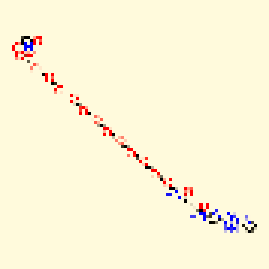 O=C(CCCC(=O)Nc1ccc(-c2nnc(-c3ccccn3)nn2)nc1)NCCOCCOCCOCCOCCOCCOCCOCCOCCOCCOCCOCCOCCC(=O)ON1C(=O)CCC1=O